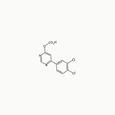 O=C(O)Oc1cc(-c2ccc(Cl)c(Cl)c2)ncn1